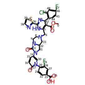 COC(=O)C1=C(CN2CCN3C(=O)N(c4ccc(=O)n(-c5ccc(C(=O)O)cc5F)c4)CC3C2)NC(c2nccs2)=NC1c1ccc(F)cc1Cl